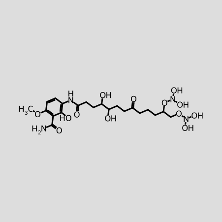 COc1ccc(NC(=O)CCC(O)C(O)CCC(=O)CCCC(CON(O)O)ON(O)O)c(O)c1C(N)=O